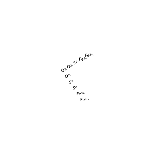 [Fe+3].[Fe+3].[Fe+3].[Fe+3].[O-2].[O-2].[O-2].[S-2].[S-2].[S-2]